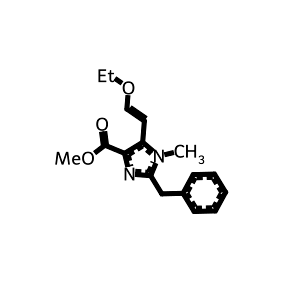 CCO/C=C/c1c(C(=O)OC)nc(Cc2ccccc2)n1C